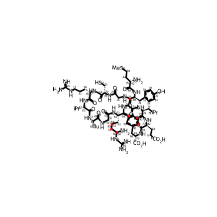 CC[C@H](C)[C@H](NC(=O)[C@@H](NC(=O)[C@H](CCCNC(=N)N)NC(=O)[C@H](CS)NC(=O)CNC(=O)[C@H](Cc1ccc(O)cc1)NC(=O)[C@@H](N)CCSC)C(C)C)C(=O)N[C@@H](CCCNC(=N)N)C(=O)N[C@@H](CCCCN)C(=O)N[C@@H](C)C(=O)N[C@@H](CC(C)C)C(=O)N[C@@H](CCC(=O)O)C(=O)N[C@@H](Cc1ccccc1)C(=O)O